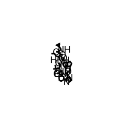 CCCC(NC(=O)[C@@H]1[C@H]2CCC[C@H]2CN1C(=O)[C@@H](NC(=O)C1(NC(=O)c2cnccn2)CCCCC1)C(C)(C)C)C(=O)C(=O)NC1CC1